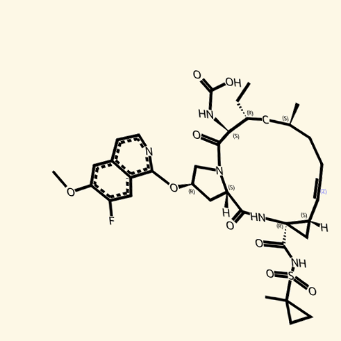 CC[C@@H]1C[C@@H](C)CC/C=C\[C@@H]2C[C@@]2(C(=O)NS(=O)(=O)C2(C)CC2)NC(=O)[C@@H]2C[C@@H](Oc3nccc4cc(OC)c(F)cc34)CN2C(=O)[C@H]1NC(=O)O